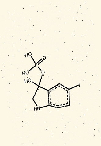 O=P(O)(O)OC1(O)CNc2ccc(I)cc21